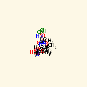 C=CCOC(=O)N[C@H](C(=O)N[C@@H](CCCCNC(=O)OCC(Cl)(Cl)Cl)C(=O)Nc1ccc(COC(=O)N2c3cc(O[Si](C(C)C)(C(C)C)C(C)C)c(OC)cc3C(=O)N3CC4(CC4)C[C@H]3C2O)cc1)C(C)C